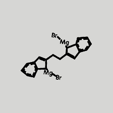 [Br][Mg][CH]1C(CCC2=Cc3ccccc3[CH]2[Mg][Br])=Cc2ccccc21